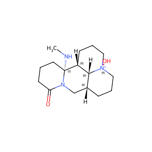 CN[C@@]12CCCC(=O)N1C[C@H]1CCC[N@@+]3(O)CCC[C@@H]2[C@@H]13